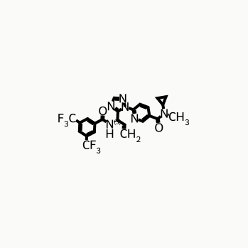 C=C[C@H](NC(=O)c1cc(C(F)(F)F)cc(C(F)(F)F)c1)c1ncnn1-c1ccc(C(=O)N(C)C2CC2)cn1